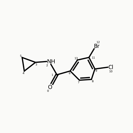 O=C(NC1CC1)c1ccc(Cl)c(Br)c1